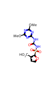 COc1nc(NC(=O)NS(=O)(=O)c2occc2C(=O)O)nc(OC)n1